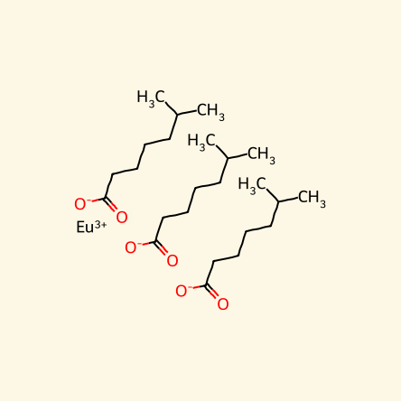 CC(C)CCCCC(=O)[O-].CC(C)CCCCC(=O)[O-].CC(C)CCCCC(=O)[O-].[Eu+3]